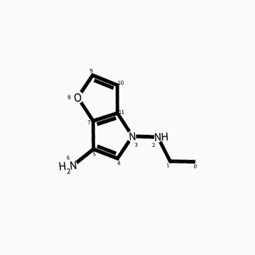 CCNn1cc(N)c2occc21